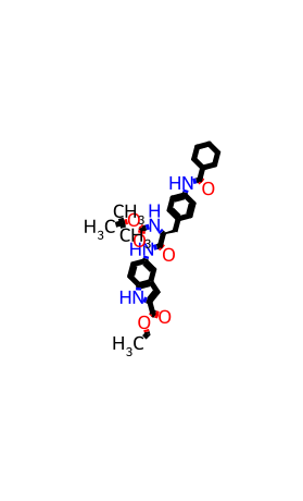 CCOC(=O)c1cc2cc(NC(=O)[C@H](Cc3ccc(NC(=O)C4CCCCC4)cc3)NC(=O)OC(C)(C)C)ccc2[nH]1